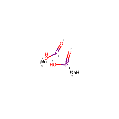 O=PO.O=PO.[Mn].[NaH]